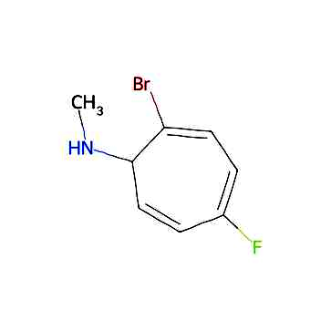 CNC1C=CC(F)=CC=C1Br